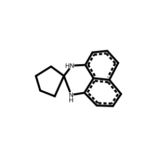 c1cc2c3c(cccc3c1)NC1(CCCC1)N2